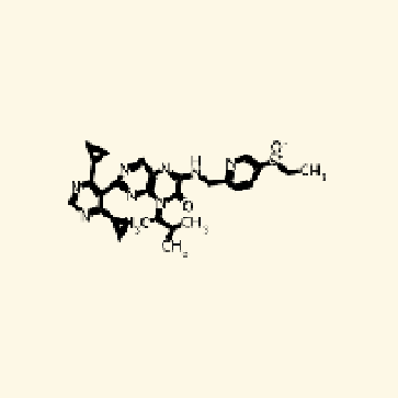 CC[S+]([O-])c1ccc(CNc2nc3cnc(-c4c(C5CC5)ncnc4C4CC4)nc3n([C@H](C)C(C)C)c2=O)nc1